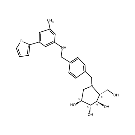 Cc1cc(NCc2ccc(CN3C[C@H](O)[C@@H](O)[C@H](O)[C@H]3CO)cc2)cc(-c2ccco2)c1